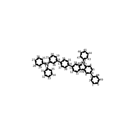 c1ccc(-c2ccc3c(c2)c2ccc(-c4ccc(-c5cccc(N(c6ccccc6)c6ccccc6)c5)cc4)cc2n3-c2ccccc2)cc1